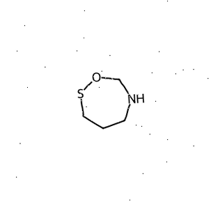 C1CNCOSC1